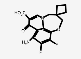 Nc1c(F)c(F)c2c3c1c(=O)c(C(=O)O)cn3CC1(CCC1)CO2